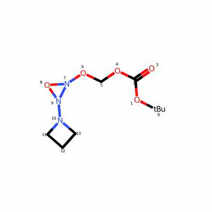 CC(C)(C)OC(=O)OCOn1on1N1CCC1